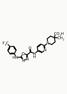 CC1(C(=O)O)CCN(c2ccc(NC(=O)c3nnc(Nc4ccc(C(F)(F)F)cc4)o3)cn2)CC1